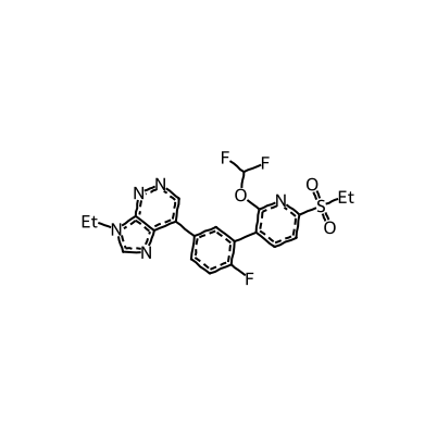 CCn1cnc2c(-c3ccc(F)c(-c4ccc(S(=O)(=O)CC)nc4OC(F)F)c3)cnnc21